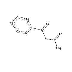 O=C(O)CC(=O)c1ccncn1